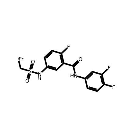 CC(C)CS(=O)(=O)Nc1ccc(F)c(C(=O)Nc2ccc(F)c(F)c2)c1